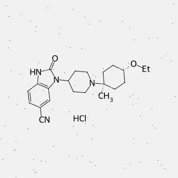 CCO[C@H]1CC[C@](C)(N2CCC(n3c(=O)[nH]c4ccc(C#N)cc43)CC2)CC1.Cl